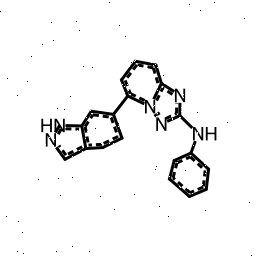 c1ccc(Nc2nc3cccc(-c4ccc5cn[nH]c5c4)n3n2)cc1